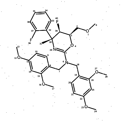 COC[C@H]1OC(N(Cc2ccc(OC)cc2OC)Cc2ccc(OC)cc2OC)=N[C@](C)(c2ccccc2F)[C@H]1F